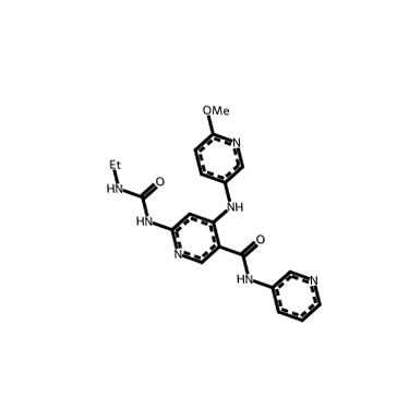 CCNC(=O)Nc1cc(Nc2ccc(OC)nc2)c(C(=O)Nc2cccnc2)cn1